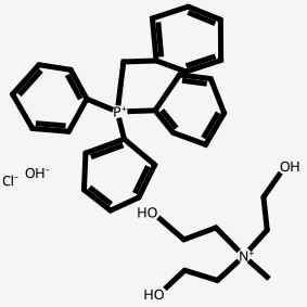 C[N+](CCO)(CCO)CCO.[Cl-].[OH-].c1ccc(C[P+](c2ccccc2)(c2ccccc2)c2ccccc2)cc1